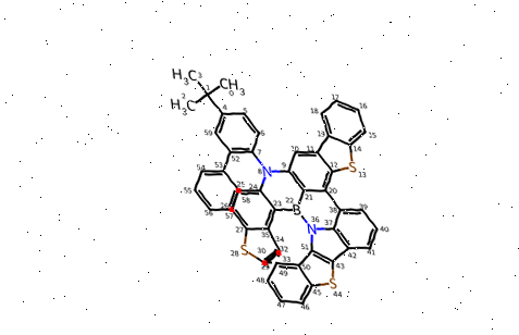 CC(C)(C)c1ccc(N2c3cc4c(sc5ccccc54)c4c3B(c3c2ccc2sc5ccccc5c32)n2c3c-4cccc3c3sc4ccccc4c32)c(-c2ccccc2)c1